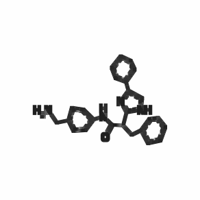 NCc1ccc(NC(=O)C(Cc2ccccc2)c2nc(-c3ccccc3)c[nH]2)cc1